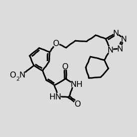 O=C1NC(=O)/C(=C\c2cc(OCCCCc3nnnn3C3CCCCC3)ccc2[N+](=O)[O-])N1